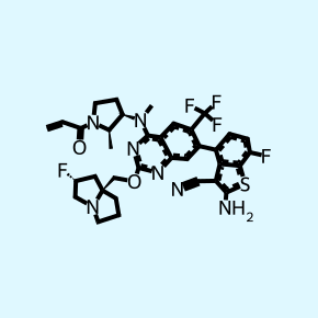 C=CC(=O)N1CC[C@@H](N(C)c2nc(OC[C@@]34CCCN3C[C@H](F)C4)nc3cc(-c4ccc(F)c5sc(N)c(C#N)c45)c(C(F)(F)F)cc23)[C@H]1C